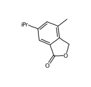 Cc1cc(C(C)C)cc2c1COC2=O